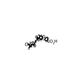 Cc1cc(O[C@H]2CC[C@@H](C(=O)O)CC2)ccc1C(=O)NCCNC(=O)c1cc(C)c(Cl)s1